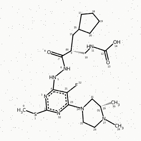 CSc1nc(NNC(=O)[C@@H](CNC(=O)O)CC2CCCC2)c(F)c(N2CCN(C)[C@@H](C)C2)n1